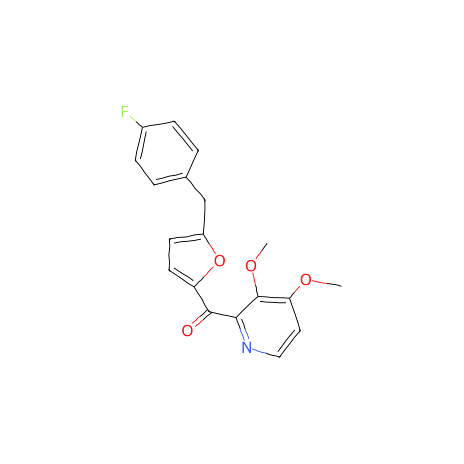 COc1ccnc(C(=O)c2ccc(Cc3ccc(F)cc3)o2)c1OC